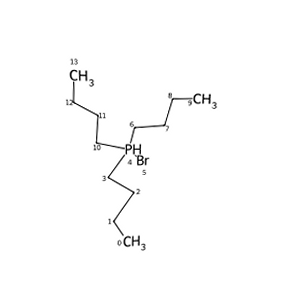 CCCC[PH](Br)(CCCC)CCCC